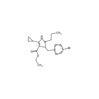 CCCN1NC(C2CC2)=C(C(=O)OCC)C1Cc1ccc(Br)cc1